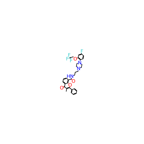 Cc1c(-c2ccccc2)oc2c(C(=O)NCCCN3CCN(c4ccc(F)cc4OCC(F)(F)F)CC3)cccc2c1=O